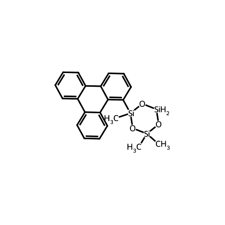 C[Si]1(C)O[SiH2]O[Si](C)(c2cccc3c4ccccc4c4ccccc4c23)O1